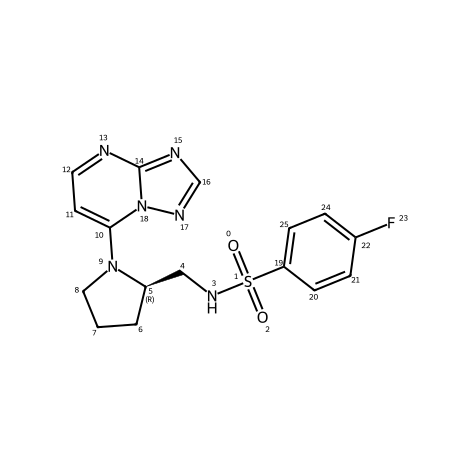 O=S(=O)(NC[C@H]1CCCN1c1ccnc2ncnn12)c1ccc(F)cc1